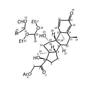 CC(=O)OCC(=O)[C@@]1(O)CC[C@H]2[C@@H]3C[C@H](C)C4=CC(=O)C=C[C@]4(C)[C@H]3[C@@H](O)C[C@@]21C.CCOC(C)OCC.O=CCBr